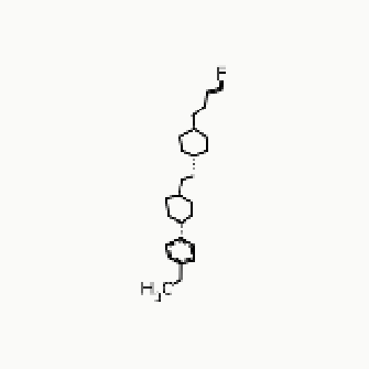 CCc1ccc([C@H]2CC[C@H](CC[C@H]3CC[C@H](CC/C=C/F)CC3)CC2)cc1